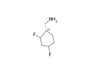 NC[C@@H]1CCC(F)CC1F